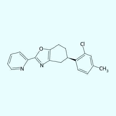 Cc1ccc([C@@H]2CCc3oc(-c4ccccn4)nc3C2)c(Cl)c1